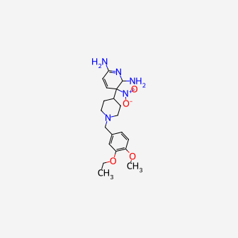 CCOc1cc(CN2CCC(C3([N+](=O)[O-])C=CC(N)=NC3N)CC2)ccc1OC